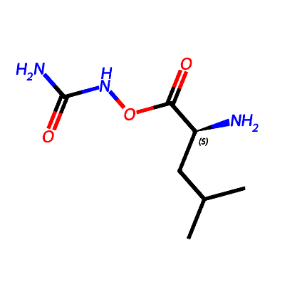 CC(C)C[C@H](N)C(=O)ONC(N)=O